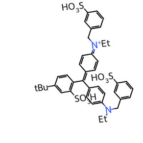 CCN(Cc1cccc(S(=O)(=O)O)c1)c1ccc(C(=C2C=CC(=[N+](CC)Cc3cccc(S(=O)(=O)O)c3)C=C2)c2ccc(C(C)(C)C)cc2S(=O)(=O)O)cc1